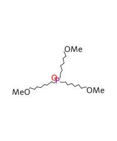 COCCCCCCCCP(=O)(CCCCCCCCOC)CCCCCCCCOC